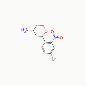 NC1CCOC(c2ccc(Br)cc2[N+](=O)[O-])C1